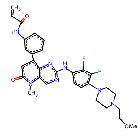 C=CC(=O)Nc1cccc(-c2cc(=O)n(C)c3cnc(Nc4ccc(N5CCN(CCOC)CC5)c(F)c4F)nc23)c1